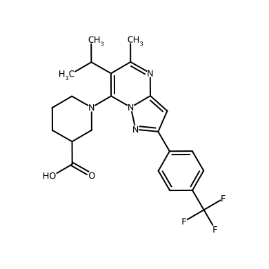 Cc1nc2cc(-c3ccc(C(F)(F)F)cc3)nn2c(N2CCCC(C(=O)O)C2)c1C(C)C